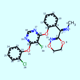 C/N=C(/C1=NOCCO1)c1ccccc1Oc1ncnc(Oc2ccccc2Cl)c1F